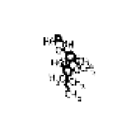 CCCC(C)(C)c1cc(O)c2c(c1)OC(C)(C)[C@@H]1CC=C(C(=O)NC3CC[C@@H]3O)C[C@@H]21